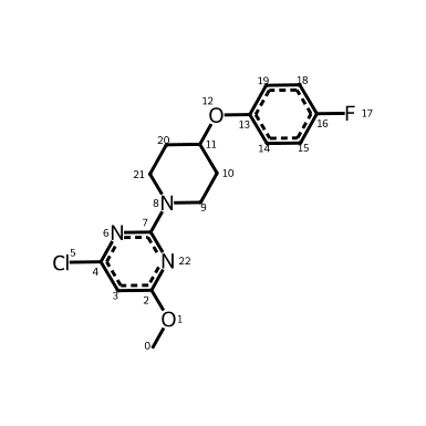 COc1cc(Cl)nc(N2CCC(Oc3ccc(F)cc3)CC2)n1